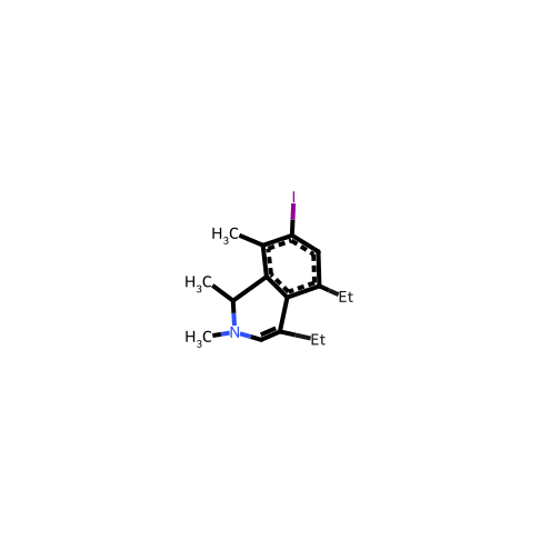 CCC1=CN(C)C(C)c2c(C)c(I)cc(CC)c21